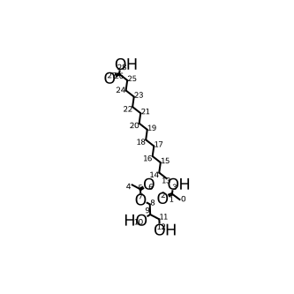 CC(=O)O.CC(=O)OCC(O)CO.CCCCCCCCCCCCCC(=O)O